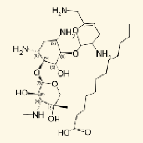 CCCCCCCCCCCC(=O)O.CN[C@@H]1[C@@H](O)[C@@H](O[C@@H]2[C@@H](O)[C@H](OC3OC(CN)=CCC3N)[C@@H](N)C[C@H]2N)OC[C@]1(C)O